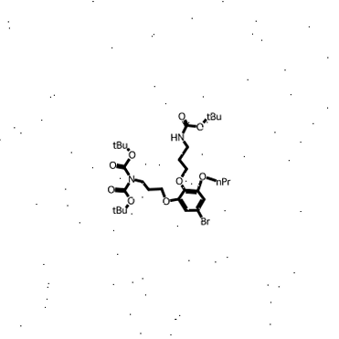 CCCOc1cc(Br)cc(OCCCN(C(=O)OC(C)(C)C)C(=O)OC(C)(C)C)c1OCCCNC(=O)OC(C)(C)C